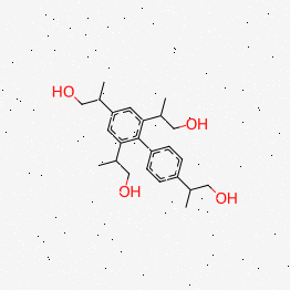 CC(CO)c1ccc(-c2c(C(C)CO)cc(C(C)CO)cc2C(C)CO)cc1